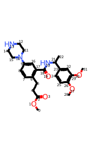 COC(=O)CCc1ccc(N2CCNCC2)cc1C(=O)NC(C)c1ccc(OC)c(OC)c1